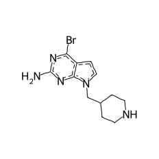 Nc1nc(Br)c2ccn(CC3CCNCC3)c2n1